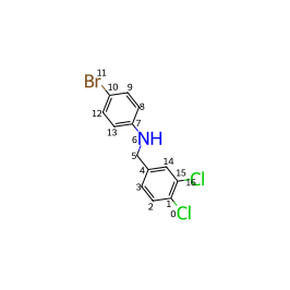 Clc1ccc(CNc2ccc(Br)cc2)cc1Cl